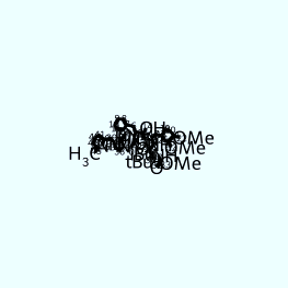 CCC(C)C(C(=O)NC(Cc1ccccc1)C(O)CN(Cc1ccc(OC)c(OC)c1)NC(=O)C(NC(=O)OC)C(C)(C)C)N1CCN(Cc2cccc(C)n2)C1=O